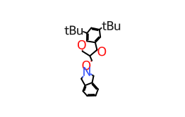 CC(C)(C)c1cc2c(c(C(C)(C)C)c1)OCC(CON1Cc3ccccc3C1)C2=O